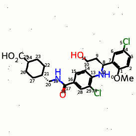 COc1ccc(Cl)cc1[C@H](CCO)Nc1ccc(C(=O)NC[C@H]2CC[C@H](C(=O)O)CC2)cc1Cl